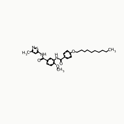 CCCCCCCCCCOc1ccc(C(=O)Nc2cc(C(=O)Nc3cc(C)ns3)ccc2OC)cc1